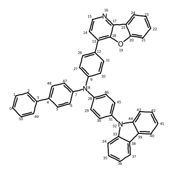 c1ccc(-c2ccc(N(c3ccc(-c4ccnc5c4oc4ccccc45)cc3)c3ccc(-n4c5ccccc5c5ccccc54)cc3)cc2)cc1